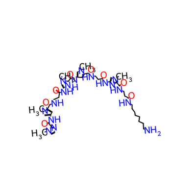 Cn1cc(NC(=O)c2nc(NC(=O)CCNC(=O)c3cc(NC(=O)c4nccn4C)cn3C)cn2C)cc1C(=O)NCCC(=O)Nc1cn(C)c(C(=O)NCCC(=O)NCCCCCCCCN)n1